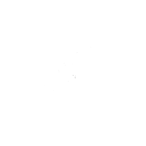 Fc1ccc2sc(-c3ccccc3)nc2c1